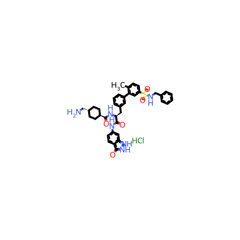 Cc1ccc(S(=O)(=O)NCc2ccccc2)cc1-c1cccc(C[C@H](NC(=O)[C@H]2CC[C@H](CN)CC2)C(=O)Nc2ccc3c(=O)[nH][nH]c3c2)c1.Cl